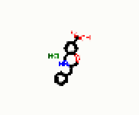 Cl.O=C(O)c1ccc2c(c1)OCC(Cc1ccccc1)NC2